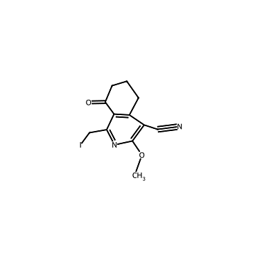 COc1nc(CI)c2c(c1C#N)CCCC2=O